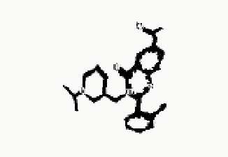 CC(=O)c1ccc2nc(-c3ccccc3C)n(CC3CCCN(C(C)C)C3)c(=O)c2c1